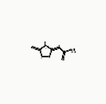 NC(=O)C=C1NC(=O)CS1